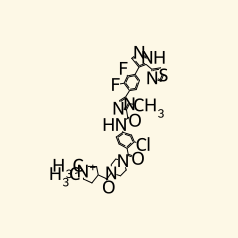 Cn1c(-c2ccc(-c3cn[nH]c3-c3cscn3)c(F)c2F)cnc1C(=O)Nc1ccc(C(=O)N2CCN(C(=O)C3CC[N+](C)(C)CC3)CC2)c(Cl)c1